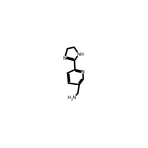 NCc1ccc(C2=NCCN2)nc1